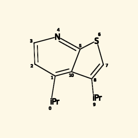 CC(C)c1ccnc2scc(C(C)C)c12